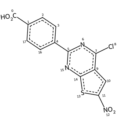 O=C(O)c1ccc(-c2nc(Cl)c3cc([N+](=O)[O-])sc3n2)cc1